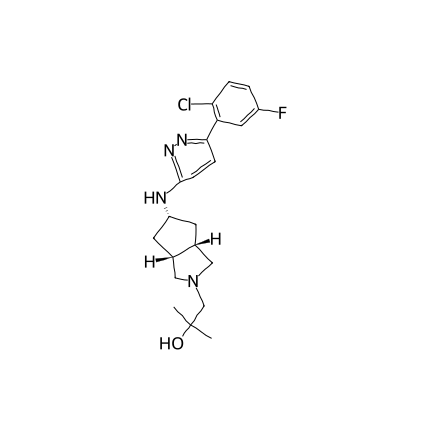 CC(C)(O)CN1C[C@H]2C[C@@H](Nc3ccc(-c4cc(F)ccc4Cl)nn3)C[C@H]2C1